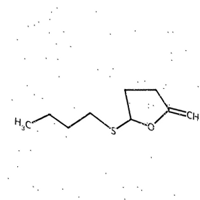 C=C1CCC(SCCCC)O1